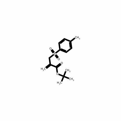 C=C(CS(=O)(=O)c1ccc(C)cc1)C(=O)OC(C)(C)C